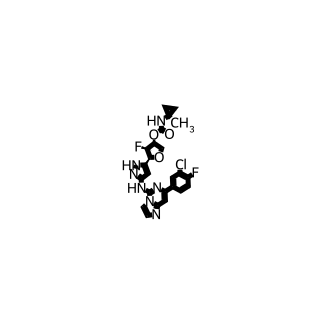 CC1(NC(=O)O[C@H]2CO[C@@H](c3cc(Nc4nc(-c5ccc(F)c(Cl)c5)cc5nccn45)n[nH]3)[C@H]2F)CC1